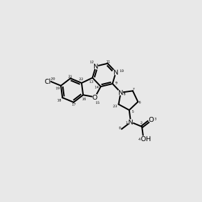 CN(C(=O)O)C1CCN(c2ncnc3c2oc2ccc(Cl)cc23)C1